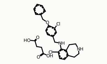 Clc1cc(CNc2c(Cl)ccc3c2CCNCC3)ccc1OCc1ccccc1.O=C(O)CCC(=O)O